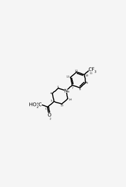 O=C(O)C(=O)C1CCN(c2ccc(C(F)(F)F)cc2)CC1